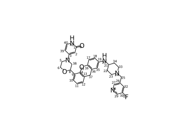 O=c1cc(N2CCOC(c3cccc4c3Oc3ccc(NC5CCN(Cc6cncc(F)c6)CC5)cc3C4)C2)cc[nH]1